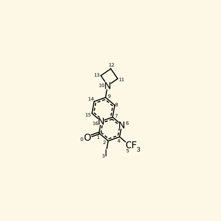 O=c1c(I)c(C(F)(F)F)nc2cc(N3CCC3)ccn12